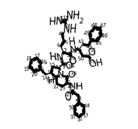 N=C(N)NCCC[C@H](NC(=O)[C@@H]1C[C@H](Cc2ccccc2)[C@@H]2CCC(NC(=O)Cc3ccccc3)C(=O)N12)C(=O)N[C@H](CCc1ccccc1)CC(=O)O